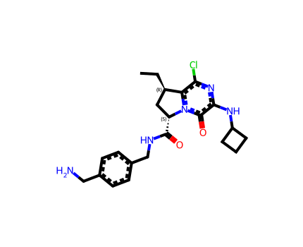 CC[C@@H]1C[C@@H](C(=O)NCc2ccc(CN)cc2)n2c1c(Cl)nc(NC1CCC1)c2=O